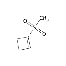 CS(=O)(=O)C1=CCC1